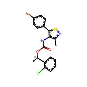 Cc1nsc(-c2ccc(Br)cc2)c1NC(=O)O[C@H](C)c1ccccc1Cl